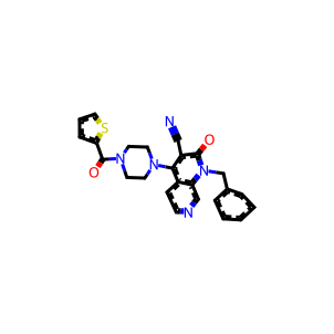 N#Cc1c(N2CCN(C(=O)c3cccs3)CC2)c2ccncc2n(Cc2ccccc2)c1=O